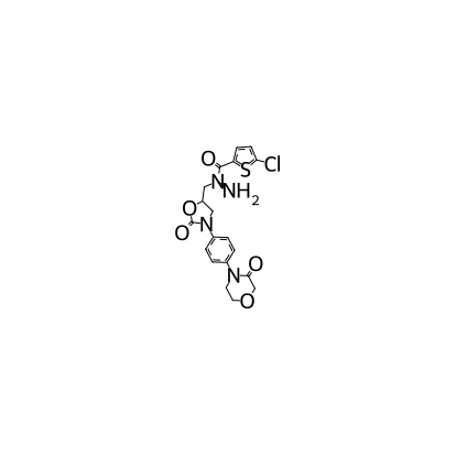 NN(CC1CN(c2ccc(N3CCOCC3=O)cc2)C(=O)O1)C(=O)c1ccc(Cl)s1